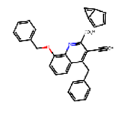 C#Cc1c(C(=O)O)nc2c(OCc3ccccc3)cccc2c1Cc1ccccc1.c1cc2cc-2c1